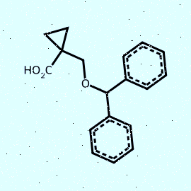 O=C(O)C1(COC(c2ccccc2)c2ccccc2)CC1